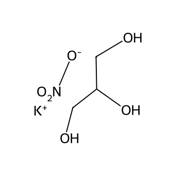 O=[N+]([O-])[O-].OCC(O)CO.[K+]